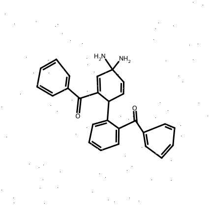 NC1(N)C=CC(c2ccccc2C(=O)c2ccccc2)C(C(=O)c2ccccc2)=C1